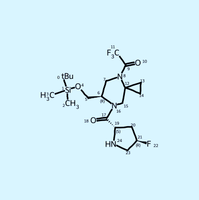 CC(C)(C)[Si](C)(C)OC[C@H]1CN(C(=O)C(F)(F)F)C2(CC2)CN1C(=O)[C@@H]1C[C@@H](F)CN1